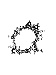 CC(C)C[C@H]1C(=O)N[C@@H](C(C)C)C(=O)N(C)[C@@H](Cc2ccccc2)C(=O)N(C)[C@@H](Cc2ccccc2)C(=O)N[C@@H](COC(C)(C)C)C(=O)N(C)[C@@H](CC(C)C)C(=O)N[C@@H](COC[C@@H](C)O)C(=O)N(C)[C@@H](CC(C)C)C(=O)N(C)[C@@H](CC(C)C)C(=O)N[C@H](C(=O)N2CCCCC2)CC(=O)N(C)CCCC(=O)N1C